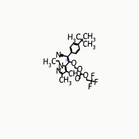 CCn1nc(C)c(C)c1/C(OCOC(=O)OCC(F)(F)F)=C(\C#N)c1ccc(C(C)(C)C)cc1